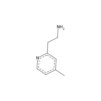 Cc1ccnc(CCN)c1